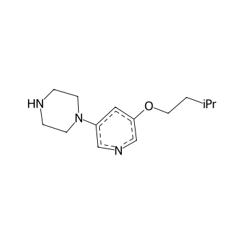 CC(C)CCOc1cncc(N2CCNCC2)c1